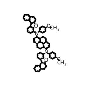 COc1ccc(N(c2ccc3ccc4c(N(c5ccc(OC)cc5)c5cccc6c5oc5ccc7ccccc7c56)ccc5ccc2c3c54)c2cccc3c2oc2ccc4ccccc4c23)cc1